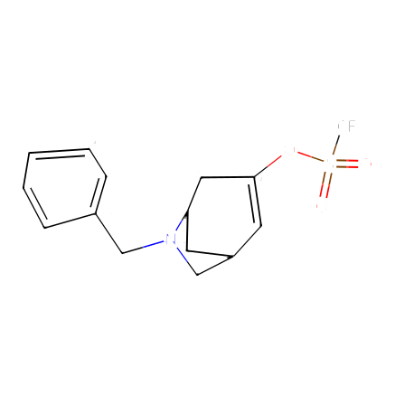 O=S(=O)(OC1=CC2CC(C1)N(Cc1ccccc1)C2)C(F)(F)F